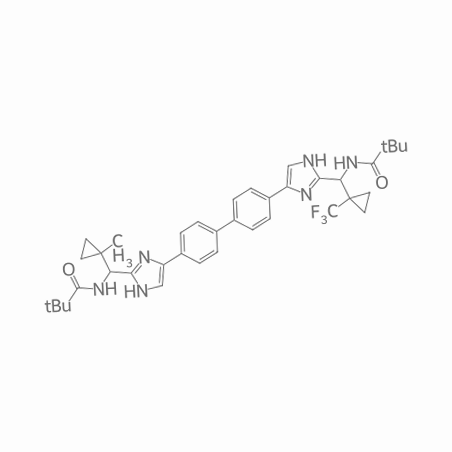 CC(C)(C)C(=O)NC(c1nc(-c2ccc(-c3ccc(-c4c[nH]c(C(NC(=O)C(C)(C)C)C5(C(F)(F)F)CC5)n4)cc3)cc2)c[nH]1)C1(C)CC1